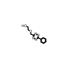 OCCOCc1nnc(-c2ccccc2)nn1